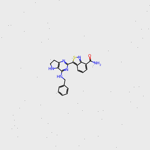 NC(=O)c1cccc2c(-c3nc4c(c(NCc5ccccc5)n3)NCC4)snc12